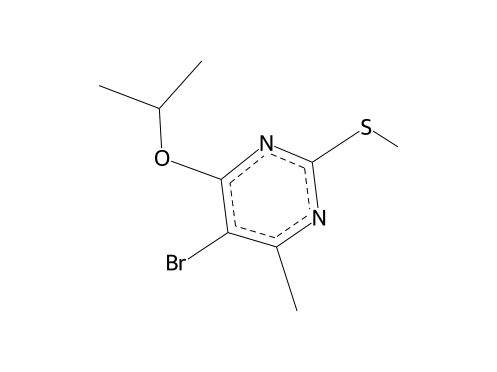 CSc1nc(C)c(Br)c(OC(C)C)n1